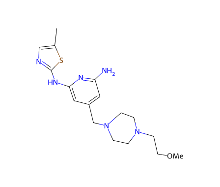 COCCN1CCN(Cc2cc(N)nc(Nc3ncc(C)s3)c2)CC1